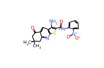 CC1(C)CC(=O)c2cc3c(N)c(C(=O)Nc4ccccc4[N+](=O)[O-])sc3nc2C1